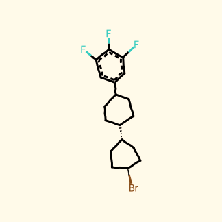 Fc1cc(C2CCC([C@H]3CC[C@H](Br)CC3)CC2)cc(F)c1F